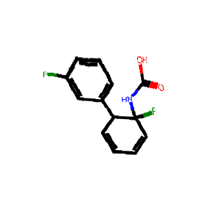 O=C(O)NC1(F)C=CC=CC1c1cccc(F)c1